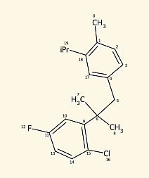 Cc1ccc(CC(C)(C)c2cc(F)ccc2Cl)cc1C(C)C